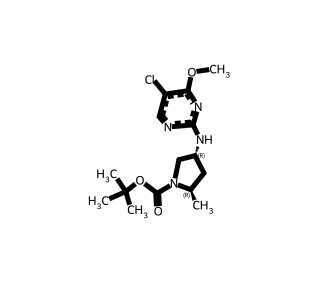 COc1nc(N[C@@H]2C[C@@H](C)N(C(=O)OC(C)(C)C)C2)ncc1Cl